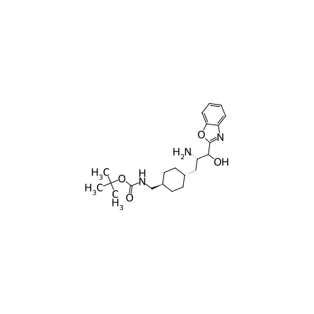 CC(C)(C)OC(=O)NC[C@H]1CC[C@H](C[C@H](N)C(O)c2nc3ccccc3o2)CC1